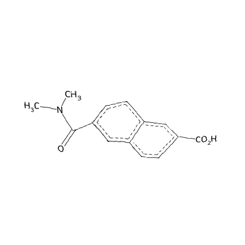 CN(C)C(=O)c1ccc2cc(C(=O)O)ccc2c1